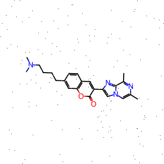 Cc1cn2cc(-c3cc4ccc(CCCCN(C)C)cc4oc3=O)nc2c(C)n1